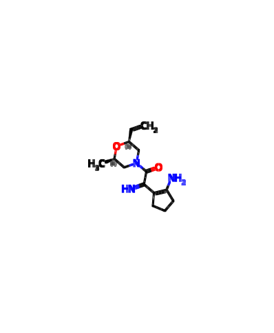 C=C[C@H]1CN(C(=O)C(=N)C2=C(N)CCC2)C[C@@H](C)O1